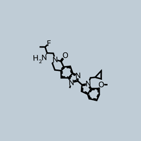 COc1cccc2cc(-c3nc4cc5c(cc4n3C)CCN(C[C@H](N)C(C)F)C5=O)n(CC3CC3)c12